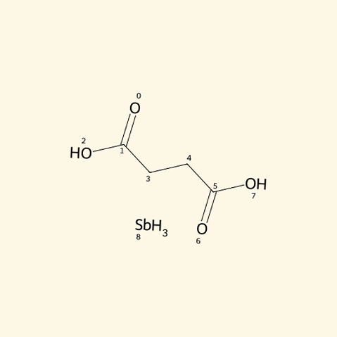 O=C(O)CCC(=O)O.[SbH3]